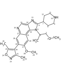 COCC(C)n1c(C2CCNCC2)nc2cnc3cc(-c4c(C)noc4C)c(OC)cc3c21